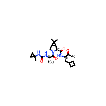 CC(=O)C(=O)[C@@H](CC1CCC1)NC(=O)[C@@H]1C2C(CN1C(=O)[C@@H](NC(=O)NC1(C)CC1)C(C)(C)C)C2(C)C